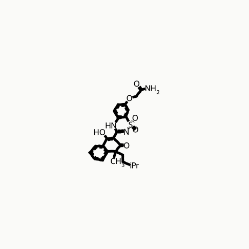 CC(C)CCC1(C)C(=O)C(C2=NS(=O)(=O)c3cc(OCC(N)=O)ccc3N2)=C(O)c2ccccc21